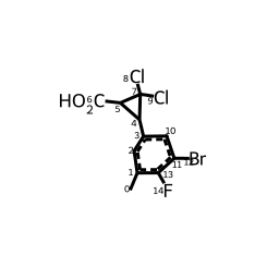 Cc1cc(C2C(C(=O)O)C2(Cl)Cl)cc(Br)c1F